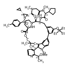 CCn1c(-c2cccnc2[C@H](C)OC)c2c3cc(ccc31)-c1cc(cc(O[Si](CC)(CC)CC)c1)C[C@H](NC(=O)[C@H](C1CCCC1)N(C)C(=O)CN(C)C(=O)[C@H]1[C@@H](C3CC3)N1[S@+]([O-])c1ccc(C)cc1)C(=O)N1CCC[C@H](N1)C(=O)OCC(C)(C)C2